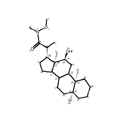 CON(C)C(=O)C(C)[C@H]1CCC2C3CC[C@@H]4CCCC[C@]4(C)C3C[C@H](O)[C@@]21C